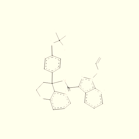 O=COn1nc(C(=O)NC2(c3ccc(OC(F)(F)F)cc3)CCOc3cccnc32)c2cccnc21